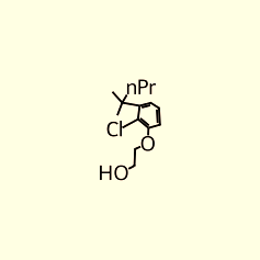 CCCC(C)(C)c1cccc(OCCO)c1Cl